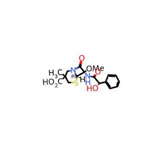 COC1(NC(=O)C(O)c2ccccc2)C(=O)N2CC(C)(C(=O)O)CS[C@@H]21